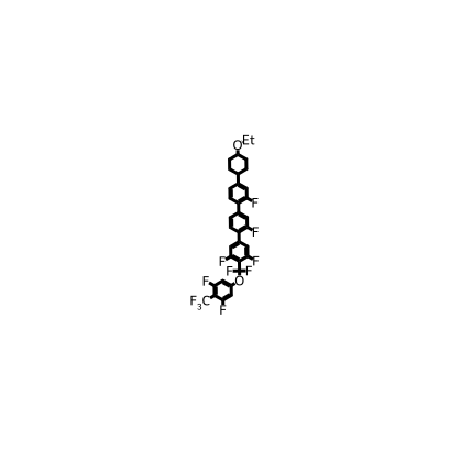 CCOC1CCC(c2ccc(-c3ccc(-c4cc(F)c(C(F)(F)Oc5cc(F)c(C(F)(F)F)c(F)c5)c(F)c4)c(F)c3)c(F)c2)CC1